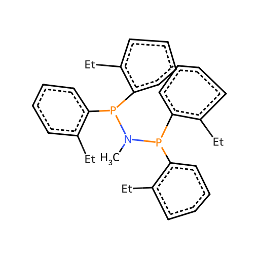 CCc1ccccc1P(c1ccccc1CC)N(C)P(c1ccccc1CC)c1ccccc1CC